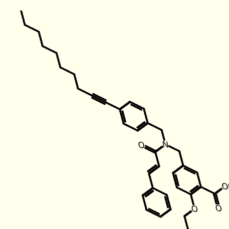 CCCCCCCCC#Cc1ccc(CN(Cc2ccc(OCC(=O)O)c(C(=O)O)c2)C(=O)C=Cc2ccccc2)cc1